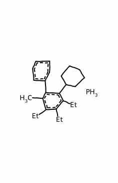 CCc1c(C)c(-c2ccccc2)c(C2CCCCC2)c(CC)c1CC.P